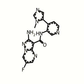 Cn1cncc1-c1ccncc1NC(=O)c1c(N)nn2cc(F)cnc12